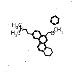 COCc1cc2c3c(ccc2c2cc(CCN(C)C)ccc12)CCCC3.c1ccccc1